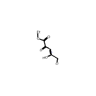 CCOC(=O)C(=O)/C=C(\O)CCl